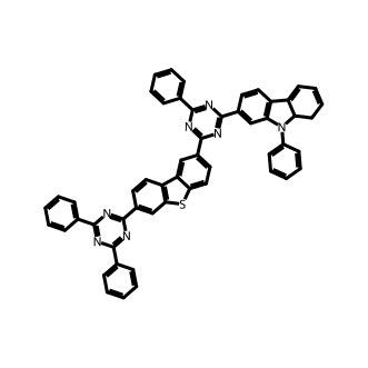 C1=CCC2C(=C1)c1ccc(-c3nc(-c4ccccc4)nc(-c4ccc5sc6cc(-c7nc(-c8ccccc8)nc(-c8ccccc8)n7)ccc6c5c4)n3)cc1N2c1ccccc1